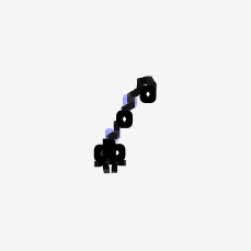 CC1(C)OB(/C=C/COC/C=C/c2ccco2)OC1(C)C